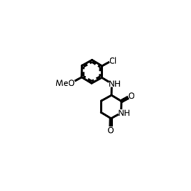 COc1ccc(Cl)c(NC2CCC(=O)NC2=O)c1